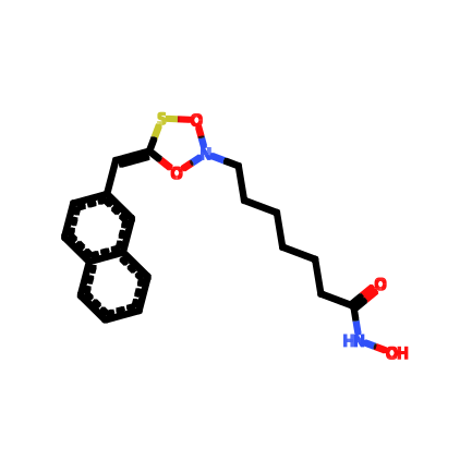 O=C(CCCCCCN1OSC(=Cc2ccc3ccccc3c2)O1)NO